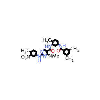 CNc1nc(Nc2ccc(C)c([N+](=O)[O-])c2)ncc1C(=O)Nc1cc(NC(=O)c2cc(C)cc(C)c2)ccc1C